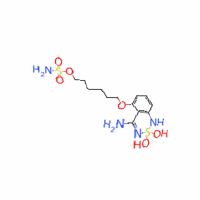 NC1=NS(O)(O)Nc2cccc(OCCCCCCOS(N)(=O)=O)c21